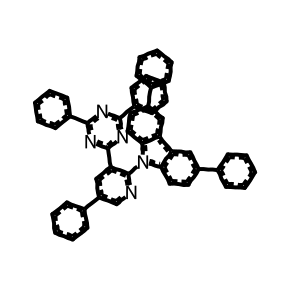 c1ccc(-c2cnc(-n3c4ccc(-c5ccccc5)cc4c4cc(-c5ccccc5)ccc43)c(-c3nc(-c4ccccc4)nc(-c4ccccc4)n3)c2)cc1